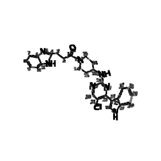 O=C(CCc1nc2ccccc2[nH]1)N1CCC(Nc2ncc(Cl)c(-c3c[nH]c4ccccc34)n2)CC1